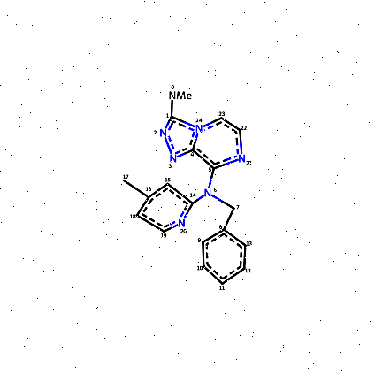 CNc1nnc2c(N(Cc3ccccc3)c3cc(C)ccn3)nccn12